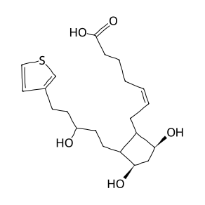 O=C(O)CCC/C=C\CC1C(CCC(O)CCc2ccsc2)[C@H](O)C[C@@H]1O